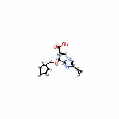 O=C(O)c1cn2cc(C3CC3)nc2c(OCc2ccccc2)n1